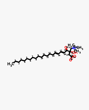 CCCCCCCCCCCCCCCC=CC=CC(=O)C(O)(CC(=O)[O-])C[N+](C)(C)C